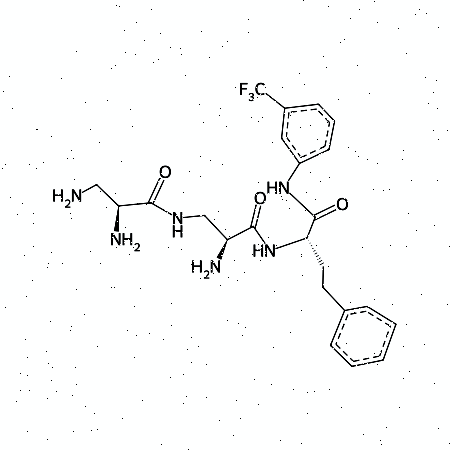 NC[C@H](N)C(=O)NC[C@H](N)C(=O)N[C@@H](CCc1ccccc1)C(=O)Nc1cccc(C(F)(F)F)c1